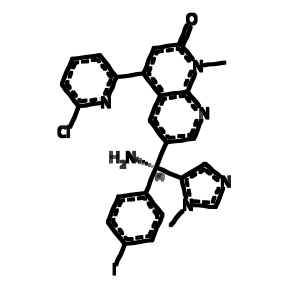 Cn1cncc1[C@@](N)(c1ccc(I)cc1)c1cnc2c(c1)c(-c1cccc(Cl)n1)cc(=O)n2C